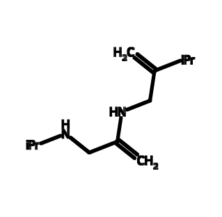 C=C(CNC(C)C)NCC(=C)C(C)C